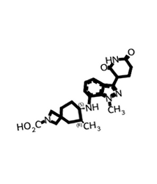 C[C@@H]1CC2(CC[C@@H]1Nc1cccc3c(C4CCC(=O)NC4=O)nn(C)c13)CN(C(=O)O)C2